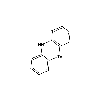 [c]1cccc2c1Nc1ccccc1[Te]2